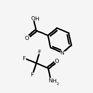 NC(=O)C(F)(F)F.O=C(O)c1cccnc1